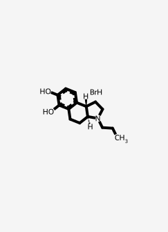 Br.CCCN1CC[C@H]2c3ccc(O)c(O)c3CC[C@@H]21